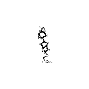 CCCCCCCCCCCOc1cc2sc(-c3ncc(CCC)cn3)cc2s1